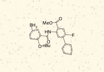 Bc1ccc(OCCCC)c(C(=O)Nc2cc(-c3ccccc3)c(F)cc2C(=O)OC)c1